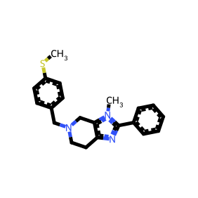 CSc1ccc(CN2CCc3nc(-c4ccccc4)n(C)c3C2)cc1